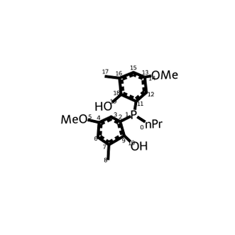 CCCP(c1cc(OC)cc(C)c1O)c1cc(OC)cc(C)c1O